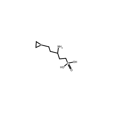 NC(CCN1CC1)CCP(=O)(O)O